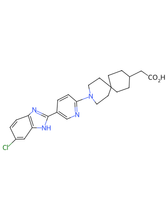 O=C(O)CC1CCC2(CC1)CCN(c1ccc(-c3nc4ccc(Cl)cc4[nH]3)cn1)CC2